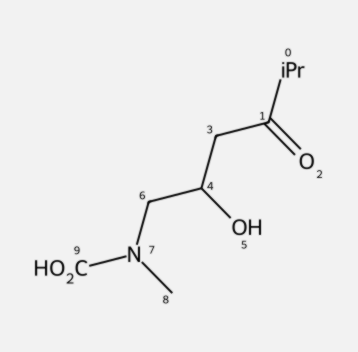 CC(C)C(=O)CC(O)CN(C)C(=O)O